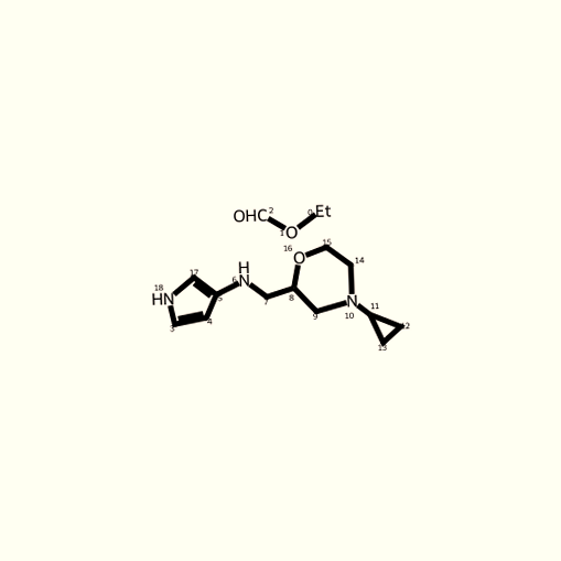 CCOC=O.c1cc(NCC2CN(C3CC3)CCO2)c[nH]1